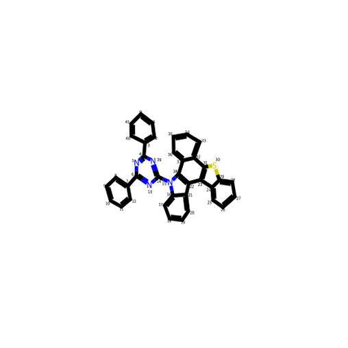 c1ccc(-c2nc(-c3ccccc3)nc(-n3c4ccccc4c4c5c6ccccc6sc5c5ccccc5c43)n2)cc1